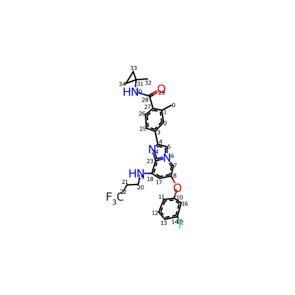 Cc1cc(-c2cn3cc(Oc4cccc(F)c4)cc(NCCC(F)(F)F)c3n2)ccc1C(=O)NC1(C)CC1